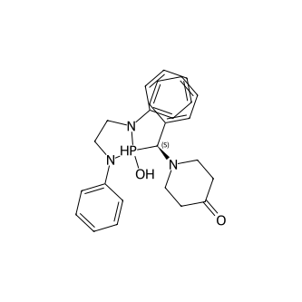 O=C1CCN([C@H](c2ccccc2)[PH]2(O)N(c3ccccc3)CCN2c2ccccc2)CC1